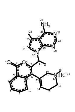 CC(c1oc(=O)c2ccccc2c1C1=CCCN(C)C1)n1nc(I)c2c(N)ncnc21.Cl